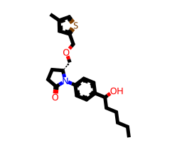 CCCCCC(O)c1ccc(N2C(=O)CC[C@@H]2COCc2cc(C)cs2)cc1